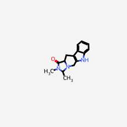 CC1N(C)C(=O)C2Cc3c([nH]c4ccccc34)CN21